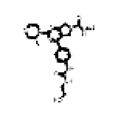 CCNC(=O)N1Cc2nc(N3CCOC[C@@H]3C)nc(-c3ccc(NC(=O)NCCO)cc3)c2C1